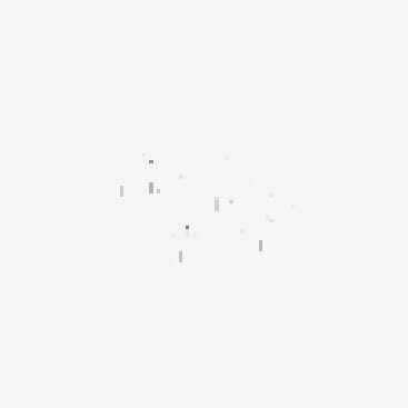 CC[C@@H](NC(=O)N1C(=O)[C@H](Cc2ccnc(N(C)C)c2)[C@H]1C(=O)N(C)c1ccn(C)n1)c1ccccc1